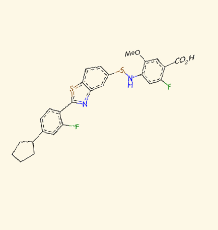 COc1cc(C(=O)O)c(F)cc1NSc1ccc2sc(-c3ccc(C4CCCC4)cc3F)nc2c1